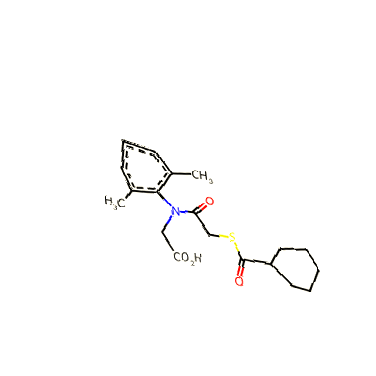 Cc1cccc(C)c1N(CC(=O)O)C(=O)CSC(=O)C1CCCCC1